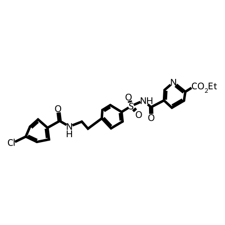 CCOC(=O)c1ccc(C(=O)NS(=O)(=O)c2ccc(CCNC(=O)c3ccc(Cl)cc3)cc2)cn1